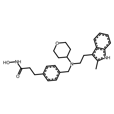 Cc1[nH]c2ccccc2c1CCN(Cc1ccc(CCC(=O)NO)cc1)C1CCOCC1